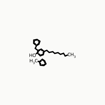 CCCCCCCCCc1ccc(O)c(Cc2ccccc2)c1.Cc1ccccc1